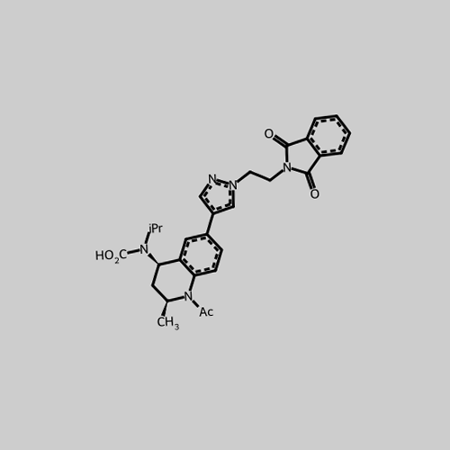 CC(=O)N1c2ccc(-c3cnn(CCN4C(=O)c5ccccc5C4=O)c3)cc2[C@H](N(C(=O)O)C(C)C)C[C@@H]1C